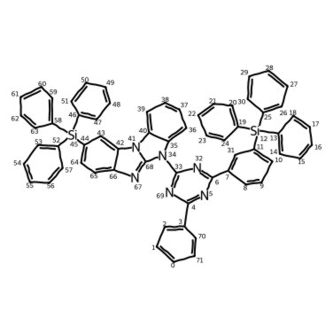 c1ccc(-c2nc(-c3cccc([Si](c4ccccc4)(c4ccccc4)c4ccccc4)c3)nc(-n3c4ccccc4n4c5cc([Si](c6ccccc6)(c6ccccc6)c6ccccc6)ccc5nc34)n2)cc1